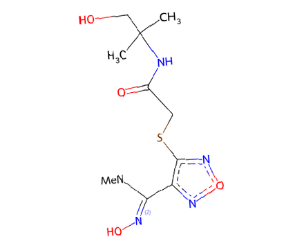 CN/C(=N\O)c1nonc1SCC(=O)NC(C)(C)CO